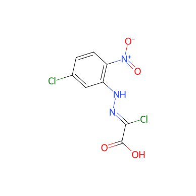 O=C(O)C(Cl)=NNc1cc(Cl)ccc1[N+](=O)[O-]